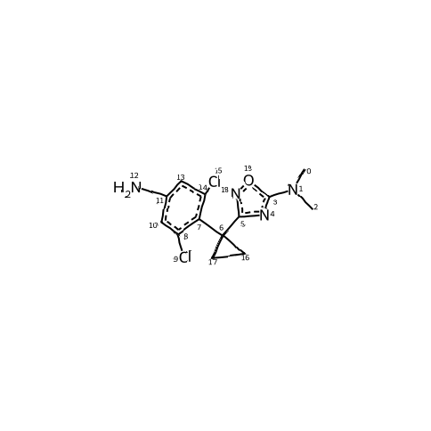 CN(C)c1nc(C2(c3c(Cl)cc(N)cc3Cl)CC2)no1